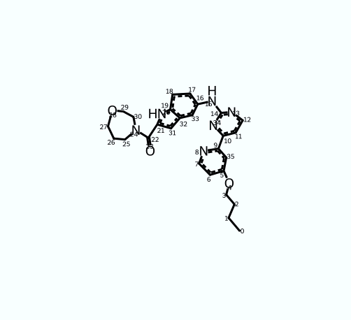 CCCCOc1ccnc(-c2ccnc(Nc3ccc4[nH]c(C(=O)N5CCCOCC5)cc4c3)n2)c1